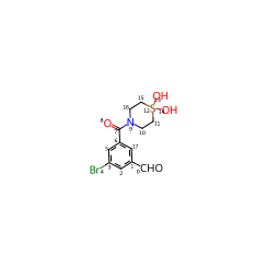 O=Cc1cc(Br)cc(C(=O)N2CCS(O)(O)CC2)c1